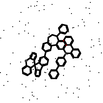 c1ccc(-c2ccc(N(c3ccc4c(c3)-c3cc(-c5ccc6c(c5)C5(c7ccccc7Oc7ccccc75)c5ccccc5-6)ccc3CCC4c3ccccc3)c3ccccc3-c3ccccc3)cc2)cc1